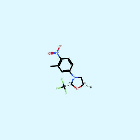 [CH][C@H]1CN(c2ccc([N+](=O)[O-])c(C)c2)[C@@H](C(F)(F)F)O1